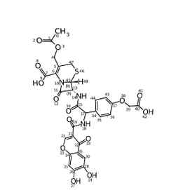 CC(=O)OCC1=C(C(=O)O)N2C(=O)[C@@H](NC(=O)C(NC(=O)c3coc4cc(O)c(O)cc4c3=O)c3ccc(OCC(=O)O)cc3)[C@H]2SC1